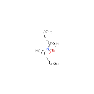 CCCCCCCC/C=C\CCCCCCC(CCN(CCC(CCCCCC/C=C\CCCCCCCC)C(=O)O)C(=O)CBr)C(=O)O